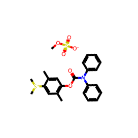 COS(=O)(=O)[O-].Cc1cc([S+](C)C)c(C)cc1OC(=O)N(c1ccccc1)c1ccccc1